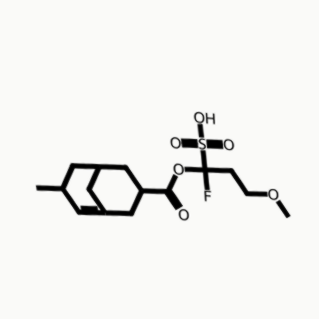 COCCC(F)(OC(=O)C1CC2=CC(C)CC(C2)C1)S(=O)(=O)O